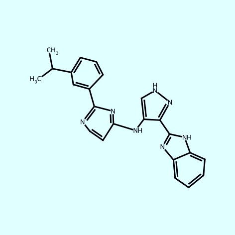 CC(C)c1cccc(-c2nccc(Nc3c[nH]nc3-c3nc4ccccc4[nH]3)n2)c1